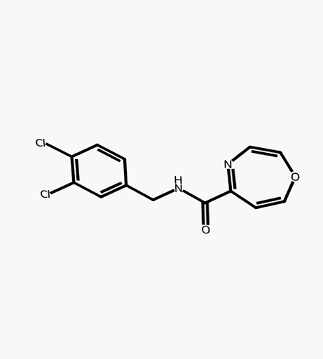 O=C(NCc1ccc(Cl)c(Cl)c1)C1=NC=COC=C1